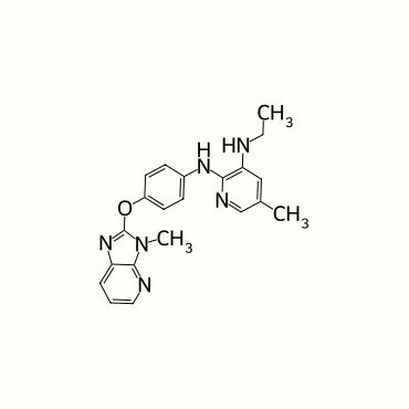 CCNc1cc(C)cnc1Nc1ccc(Oc2nc3cccnc3n2C)cc1